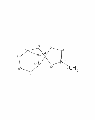 CN1CCC2(CC3CCCC2C3)C1